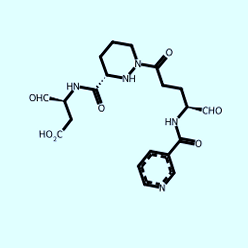 O=C[C@H](CCC(=O)N1CCC[C@@H](C(=O)N[C@H](C=O)CC(=O)O)N1)NC(=O)c1cccnc1